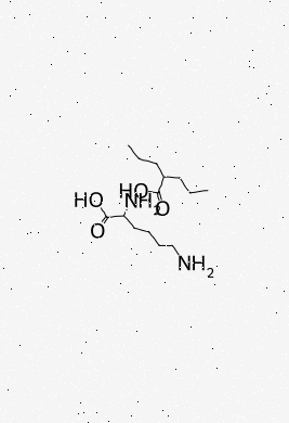 CCCC(CCC)C(=O)O.NCCCCC(N)C(=O)O